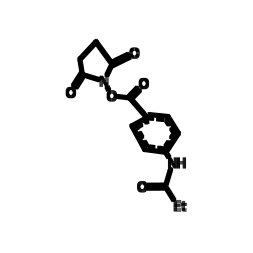 CCC(=O)Nc1ccc(C(=O)ON2C(=O)CCC2=O)cc1